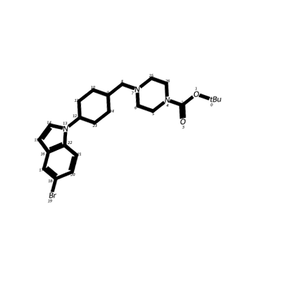 CC(C)(C)OC(=O)N1CCN(CC2CCC(n3ccc4cc(Br)ccc43)CC2)CC1